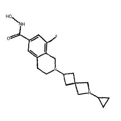 O=C(NO)c1cc(F)c2c(c1)CCN(C1CC3(C1)CN(C1CC1)C3)C2